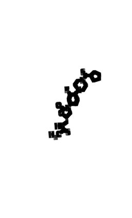 CC(=S)NC[C@H]1CN(c2ccc(N3CCN(C(=S)C4CCCC4)CC3)c(F)c2)C(=O)O1